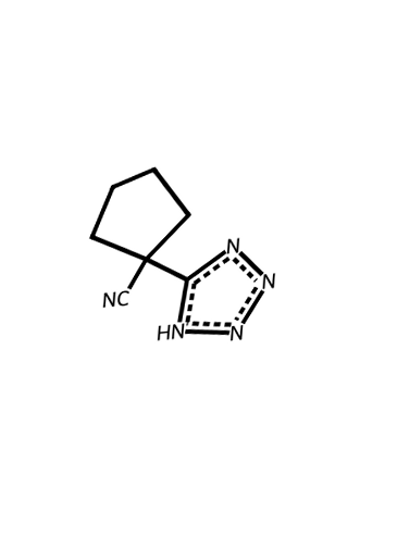 N#CC1(c2nnn[nH]2)CCCC1